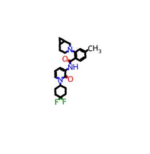 Cc1ccc(C(=O)Nc2cccn(C3CCC(F)(F)CC3)c2=O)c(N2CCC3CC3C2)c1